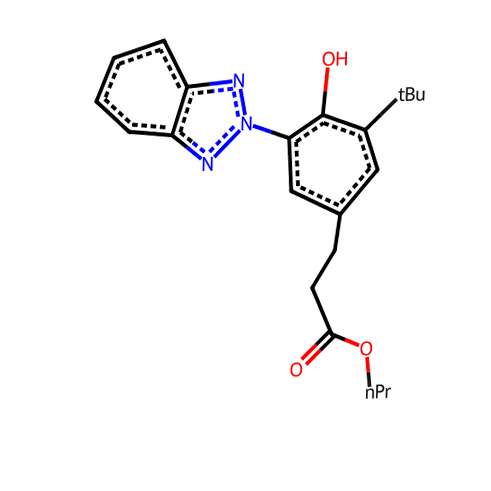 CCCOC(=O)CCc1cc(-n2nc3ccccc3n2)c(O)c(C(C)(C)C)c1